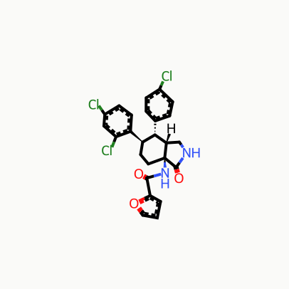 O=C(N[C@@]12CC[C@@H](c3ccc(Cl)cc3Cl)[C@H](c3ccc(Cl)cc3)[C@@H]1CNC2=O)c1ccco1